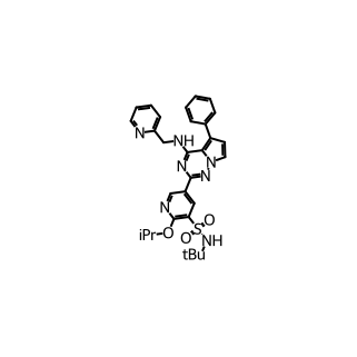 CC(C)Oc1ncc(-c2nc(NCc3ccccn3)c3c(-c4ccccc4)ccn3n2)cc1S(=O)(=O)NC(C)(C)C